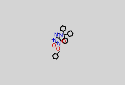 Cn1c(=O)n(COCc2ccccc2)c(=O)c2c1ncn2C(c1ccccc1)(c1ccccc1)c1ccccc1